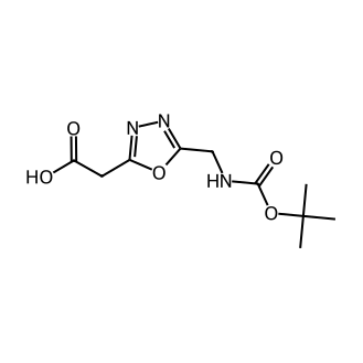 CC(C)(C)OC(=O)NCc1nnc(CC(=O)O)o1